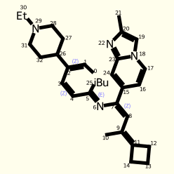 C\C=C(/C=C\C(=N\C(=C/C(C)=C1CCC1)c1ccn2cc(C)nc2c1)C(C)CC)C1CCN(CC)CC1